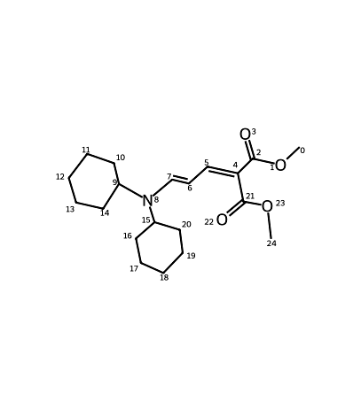 COC(=O)C(=C/C=C/N(C1CCCCC1)C1CCCCC1)C(=O)OC